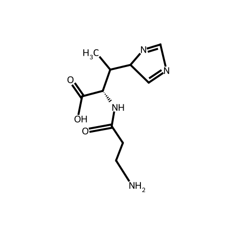 CC(C1C=NC=N1)[C@H](NC(=O)CCN)C(=O)O